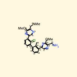 CNCc1ncc(-c2cccc(-c3cccc(-c4cnc(CN)c(OC)n4)c3C)c2Cl)nc1OC